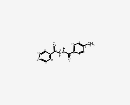 Cc1ccc(C(=O)NNC(=O)c2ccncc2)cc1